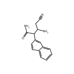 N#CCC(N)C(C(N)=O)c1ccc2ccccc2c1